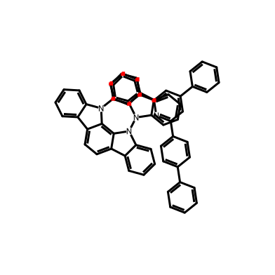 c1ccc(-c2ccc(-c3cc(-c4ccccc4)cc(-c4cccc(-n5c6ccccc6c6ccc7c8ccccc8n(-n8c9ccccc9c9ccccc98)c7c65)c4)n3)cc2)cc1